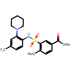 COC(=O)c1ccc(OC)c(S(=O)(=O)Nc2ccc(C(F)(F)F)cc2N2CCCCC2)c1